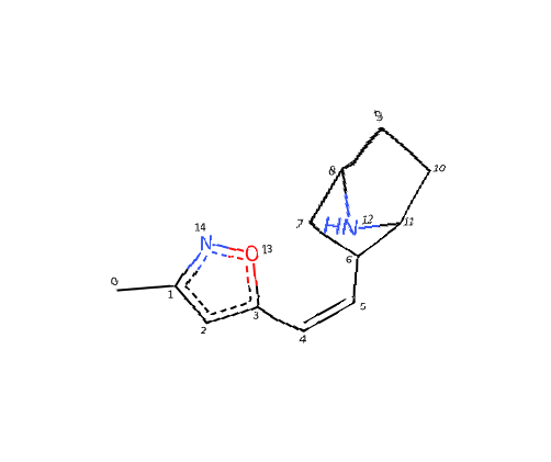 Cc1cc(/C=C\C2CC3CCC2N3)on1